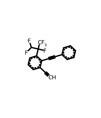 C#Cc1cccc(C(F)(C(F)F)C(F)(F)F)c1C#Cc1ccccc1